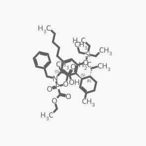 C=C(C)[C@@H]1CCC(C)=C[C@H]1c1c(O[Si](CC)(CC)CC)cc(CCCCC)cc1OP(=O)(C(=O)OCC)N(Cc1ccccc1)[C@@H](C)C(=O)O